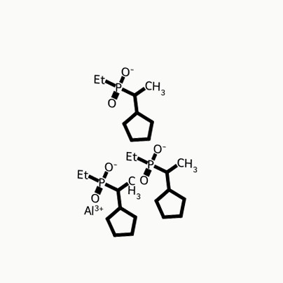 CCP(=O)([O-])C(C)C1CCCC1.CCP(=O)([O-])C(C)C1CCCC1.CCP(=O)([O-])C(C)C1CCCC1.[Al+3]